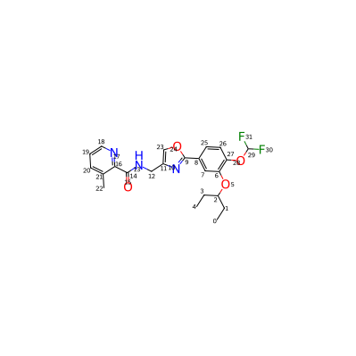 CCC(CC)Oc1cc(-c2nc(CNC(=O)c3ncccc3C)co2)ccc1OC(F)F